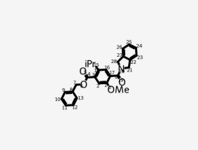 COc1cc(C(=O)OCc2ccccc2)c(C(C)C)cc1C(=O)N1Cc2ccccc2C1